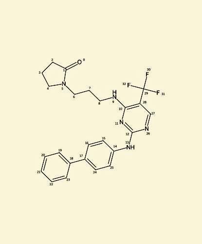 O=C1CCCN1CCCNc1nc(Nc2ccc(-c3ccccc3)cc2)ncc1C(F)(F)F